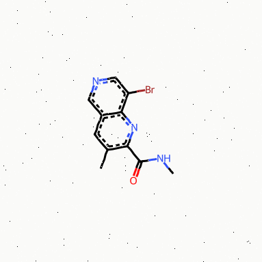 CNC(=O)c1nc2c(Br)cncc2cc1C